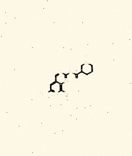 CC(=O)N1CCCC(C(=O)Nc2ncc3cc(C#N)nc(NC(C)C)c3n2)C1